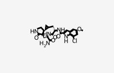 COc1cc(Cl)c2[nH]c(C(=O)N[C@@H](CC3CC3)C(=O)N[C@@H](C[C@@H]3CCCNC3=O)C(N)=O)cc2c1